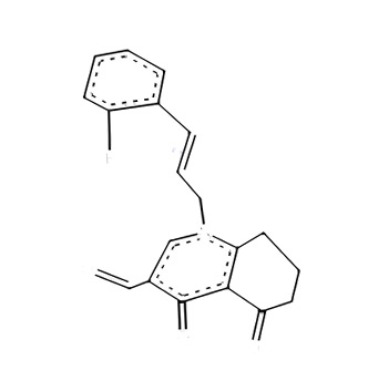 O=Cc1cn(C/C=C/c2ccccc2F)c2c(c1=O)C(=O)CCC2